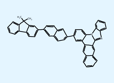 CC1(C)c2ccccc2-c2ccc(-c3ccc4cc(-c5ccc6c(c5)c5cc7ccccc7cc5c5nc7ccccc7n65)ccc4c3)cc21